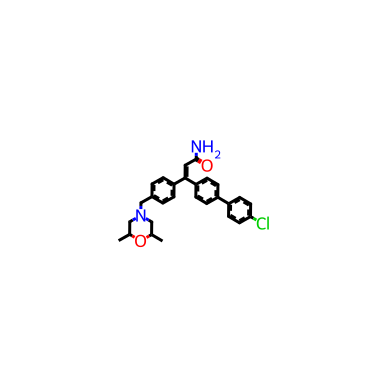 CC1CN(Cc2ccc(/C(=C/C(N)=O)c3ccc(-c4ccc(Cl)cc4)cc3)cc2)CC(C)O1